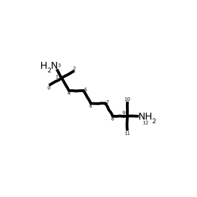 CC(C)(N)CCCCCC(C)(C)N